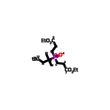 CCOC(=O)CCP(=O)(CCC(=O)OCC)C(C)(C)CC(C)(C)C